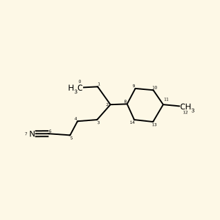 CCC(CCCC#N)C1CCC(C)CC1